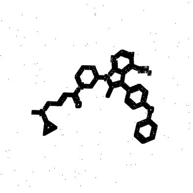 Cc1c(-c2ccc(Oc3ccccc3)cc2)c2c(N)ncnc2n1C1CCCN(C(=O)C=CCN(C)C2CC2)C1